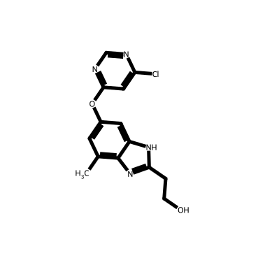 Cc1cc(Oc2cc(Cl)ncn2)cc2[nH]c(CCO)nc12